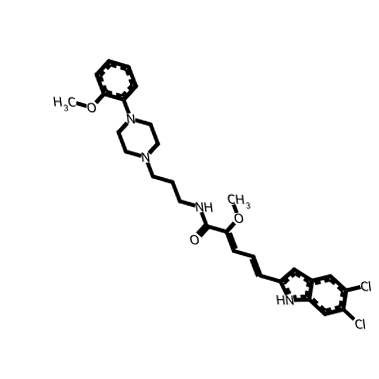 COC(=CC=Cc1cc2cc(Cl)c(Cl)cc2[nH]1)C(=O)NCCCN1CCN(c2ccccc2OC)CC1